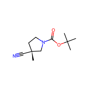 CC(C)(C)OC(=O)N1CC[C@@](C)(C#N)C1